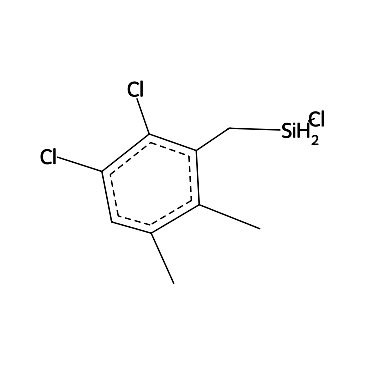 Cc1cc(Cl)c(Cl)c(C[SiH2]Cl)c1C